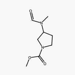 COC(=O)N1CCC(N(C)[C]=O)C1